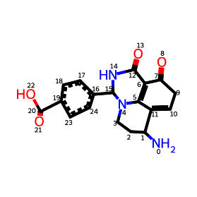 NC1CCN2C3=C(C(=O)CC=C31)C(=O)NC2c1ccc(C(=O)O)cc1